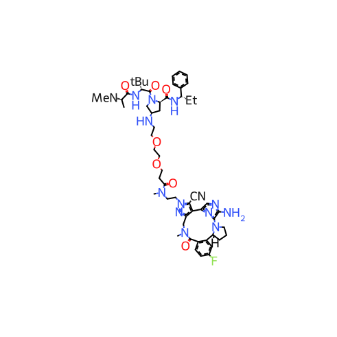 CC[C@H](NC(=O)[C@H]1C[C@@H](NCCOCCOCCC(=O)N(C)CCn2nc3c(c2C#N)-c2cnc(N)c(n2)N2CCC[C@@H]2c2cc(F)ccc2C(=O)N(C)C3)CN1C(=O)[C@H](NC(=O)[C@@H](C)NC)C(C)(C)C)c1ccccc1